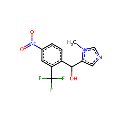 Cn1cncc1C(O)c1ccc([N+](=O)[O-])cc1C(F)(F)F